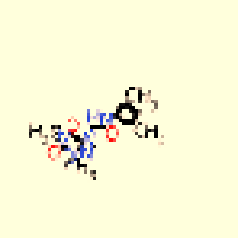 Cc1cc(C)cc(NC(=O)Cn2cnc3c2c(=O)n(C)c(=O)n3C)c1